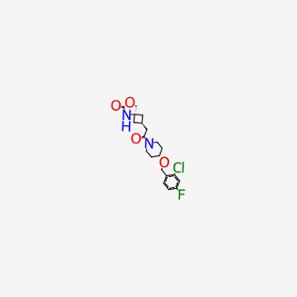 O=C1N[C@]2(CO1)C[C@H](CC(=O)N1CCC(OCc3ccc(F)cc3Cl)CC1)C2